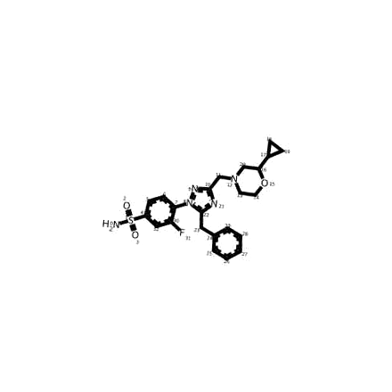 NS(=O)(=O)c1ccc(-n2nc(CN3CCOC(C4CC4)C3)nc2Cc2ccccc2)c(F)c1